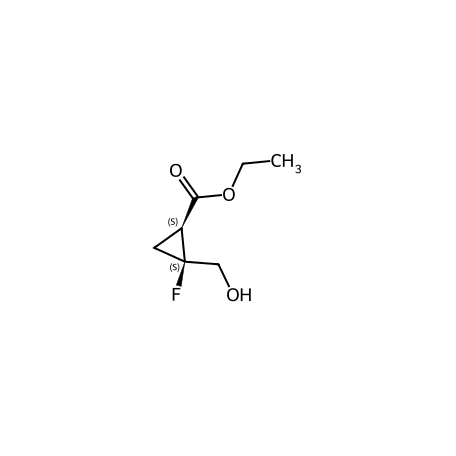 CCOC(=O)[C@@H]1C[C@@]1(F)CO